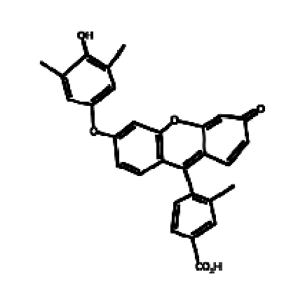 Cc1cc(C(=O)O)ccc1-c1c2ccc(=O)cc-2oc2cc(Oc3cc(C)c(O)c(C)c3)ccc12